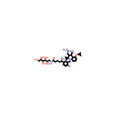 C=N/C=C(\C(=C/C)c1ccccc1OC1CC1)C1(NCc2cc([C@@H](C)CCCC(=O)NC[C@H](O)[C@@H](O)[C@H](O)[C@H](O)CO)ccc2Cl)CC1